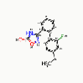 CCc1ccc(-c2ccccc2-c2noc(=O)[nH]2)c(F)c1